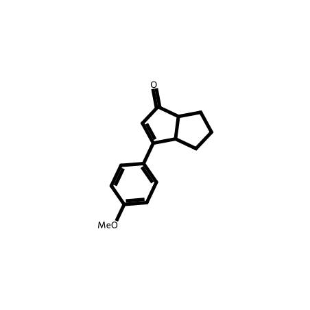 COc1ccc(C2=CC(=O)C3CCCC23)cc1